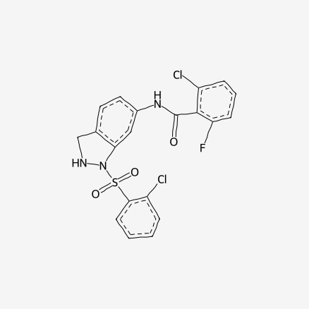 O=C(Nc1ccc2c(c1)N(S(=O)(=O)c1ccccc1Cl)NC2)c1c(F)cccc1Cl